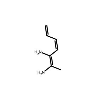 C=C/C=C\C(N)=C(/C)N